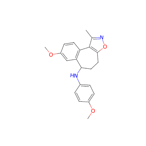 COc1ccc(NC2CCc3onc(C)c3-c3ccc(OC)cc32)cc1